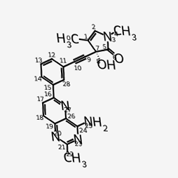 CC1=CN(C)C(=O)[C@@]1(O)C#Cc1cccc(-c2ccc3nc(C)nc(N)c3n2)c1